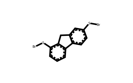 BrSc1ccc2c(c1)Cc1c(SBr)cccc1-2